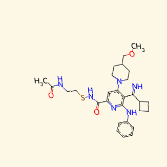 COCC1CCN(c2cc(C(=O)NSCCNC(C)=O)nc(Nc3ccccc3)c2C(=N)C2CCC2)CC1